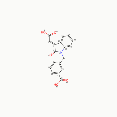 O=C(O)/C=C1/C(=O)N(Cc2cccc(C(=O)O)c2)c2ccccc21